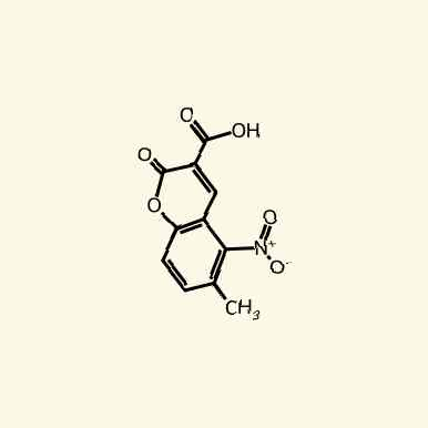 Cc1ccc2oc(=O)c(C(=O)O)cc2c1[N+](=O)[O-]